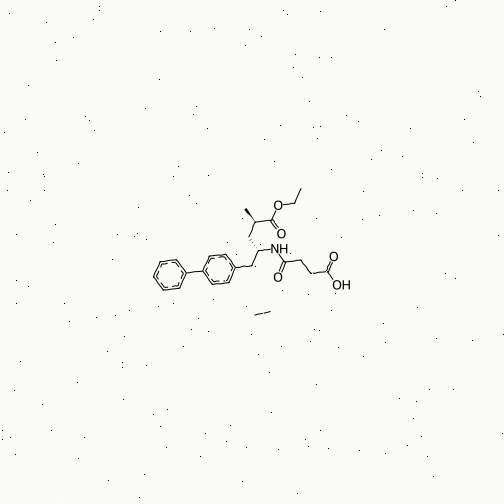 CC.CCOC(=O)[C@H](C)C[C@@H](Cc1ccc(-c2ccccc2)cc1)NC(=O)CCC(=O)O